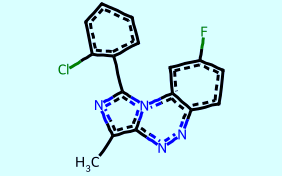 Cc1nc(-c2ccccc2Cl)n2c1nnc1ccc(F)cc12